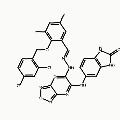 O=c1[nH]c2ccc(Nc3nc4nonc4nc3NN=Cc3cc(I)cc(I)c3OCc3ccc(Cl)cc3Cl)cc2[nH]1